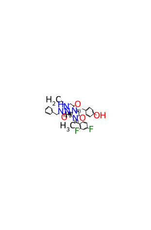 C=CCN1CC(=O)N2[C@H](Cc3ccc(O)cc3)C(=O)N([C@@H](C)c3ccc(F)cc3F)C[C@@H]2N1C(=O)NCc1ccccc1